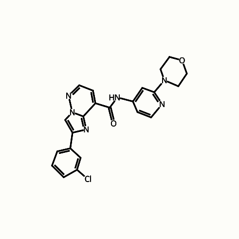 O=C(Nc1ccnc(N2CCOCC2)c1)c1ccnn2cc(-c3cccc(Cl)c3)nc12